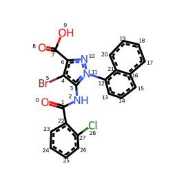 O=C(Nc1c(Br)c(C(=O)O)nn1-c1cccc2ccccc12)c1ccccc1Cl